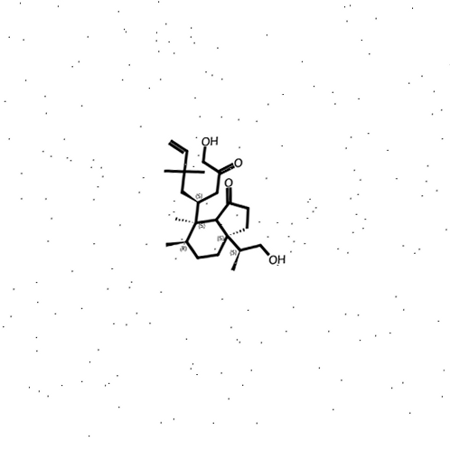 C=CC(C)(C)C[C@@H](CC(=O)CO)[C@@]1(C)C2C(=O)CC[C@]2([C@H](C)CO)CC[C@H]1C